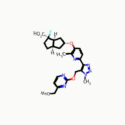 COCc1ccnc(OCc2c(-c3ccc(O[C@@H]4C[C@H]5CC[C@](F)(C(=O)O)[C@H]5C4)c(C)n3)nnn2C)n1